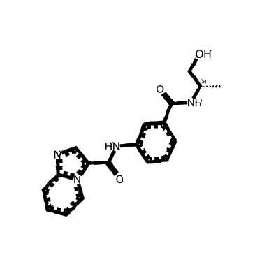 C[C@@H](CO)NC(=O)c1cccc(NC(=O)c2cnc3ccccn23)c1